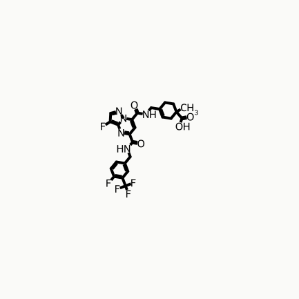 CC1(C(=O)O)CC=C(CNC(=O)c2cc(C(=O)NCc3ccc(F)c(C(F)(F)F)c3)nc3c(F)cnn23)CC1